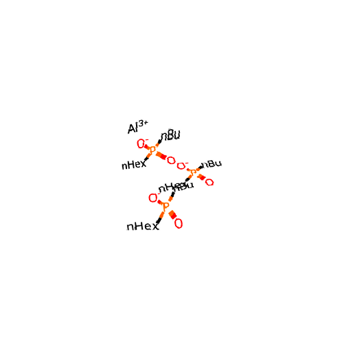 CCCCCCP(=O)([O-])CCCC.CCCCCCP(=O)([O-])CCCC.CCCCCCP(=O)([O-])CCCC.[Al+3]